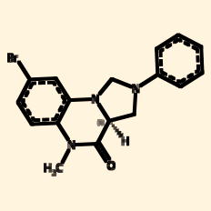 CN1C(=O)[C@@H]2CN(c3ccccc3)CN2c2cc(Br)ccc21